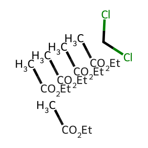 CCOC(C)=O.CCOC(C)=O.CCOC(C)=O.CCOC(C)=O.CCOC(C)=O.ClCCl